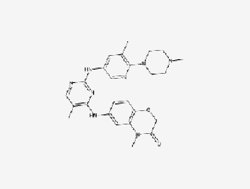 Cc1cnc(Nc2cnc(N3CCN(C)CC3)c(C)c2)nc1Nc1ccc2c(c1)N(C)C(=O)CO2